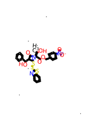 C/C(O)=C(/C(=O)OCc1ccc([N+](=O)[O-])cc1)N1C(=O)C(C(O)c2ccccc2)C1SSc1nc2ccccc2s1